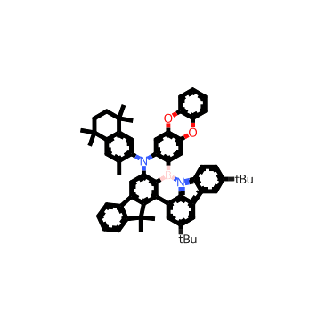 Cc1cc2c(cc1N1c3cc4c(cc3B3c5c1cc1c(c5-c5cc(C(C)(C)C)cc6c7cc(C(C)(C)C)ccc7n3c56)C(C)(C)c3ccccc3-1)Oc1ccccc1O4)C(C)(C)CCC2(C)C